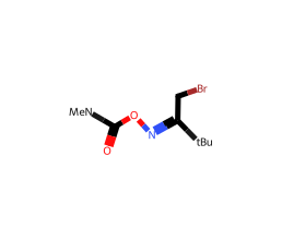 CNC(=O)ON=C(CBr)C(C)(C)C